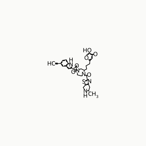 C#Cc1ccc2[nH]c(S(=O)(=O)N3CCN(C(=O)c4nc5c(s4)CNC(C)C5)C(CCCc4cc(=O)c(O)co4)C3)cc2c1